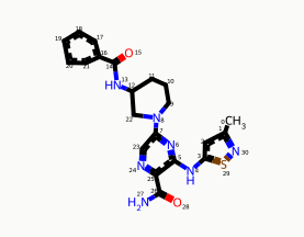 Cc1cc(Nc2nc(N3CCCC(NC(=O)c4ccccc4)C3)cnc2C(N)=O)sn1